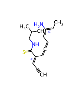 C#C/C=C(\C=C=CC/C(N)=C/C)C(=S)NCC(C)C